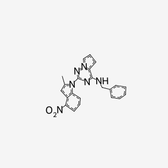 Cc1cc2c([N+](=O)[O-])cccc2n1-c1nc(NCc2ccccc2)c2cccn2n1